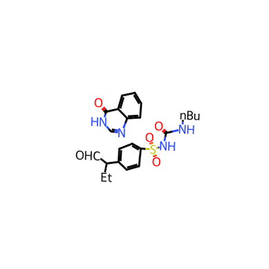 CCCCNC(=O)NS(=O)(=O)c1ccc(C(C=O)CC)cc1.O=c1[nH]cnc2ccccc12